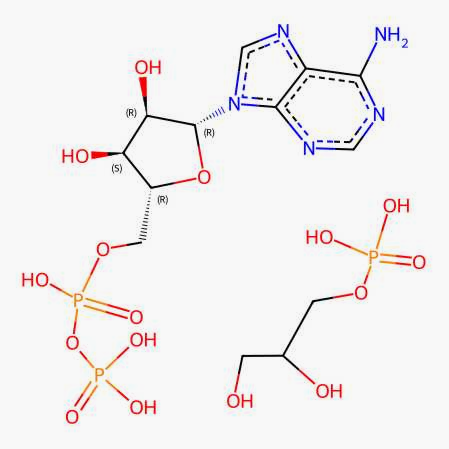 Nc1ncnc2c1ncn2[C@@H]1O[C@H](COP(=O)(O)OP(=O)(O)O)[C@@H](O)[C@H]1O.O=P(O)(O)OCC(O)CO